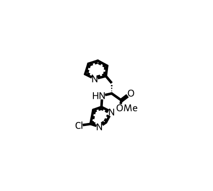 COC(=O)[C@@H](Cc1ccccn1)Nc1cc(Cl)ncn1